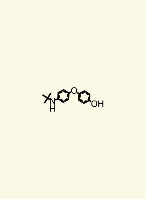 CC(C)(C)Nc1ccc(Oc2ccc(O)cc2)cc1